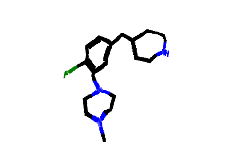 CN1CCN(c2cc(CC3CCNCC3)ccc2F)CC1